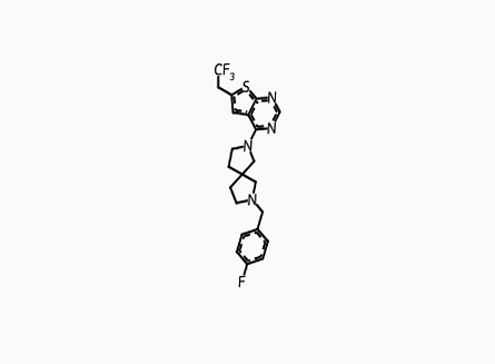 Fc1ccc(CN2CCC3(CCN(c4ncnc5sc(CC(F)(F)F)cc45)C3)C2)cc1